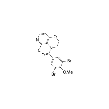 COc1c(Br)cc(C(=O)N2CCOc3ccnc(Cl)c32)cc1Br